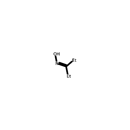 [CH2]CC(CC)=NO